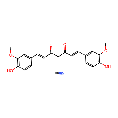 C#N.COc1cc(/C=C/C(=O)CC(=O)/C=C/c2ccc(O)c(OC)c2)ccc1O